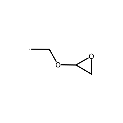 [CH2]COC1CO1